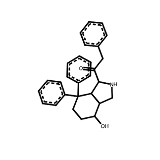 O=C(Cc1ccccc1)C1NCC2C(O)CCC(c3ccccc3)(c3ccccc3)C12